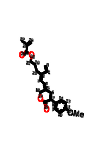 C=C/C(=C\C=C1\C=C(c2ccc(OC)cc2)C(=O)OC1)CCCOC(=O)C(=C)C